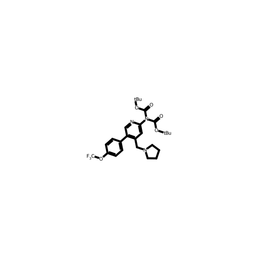 CC(C)(C)OC(=O)N(C(=O)OC(C)(C)C)c1cc(CN2CCCC2)c(-c2ccc(OC(F)(F)F)cc2)cn1